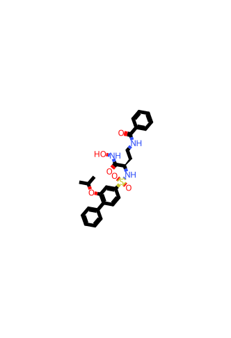 CC(C)Oc1cc(S(=O)(=O)N[C@H](CCNC(=O)c2ccccc2)C(=O)NO)ccc1-c1ccccc1